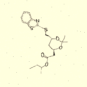 CCC(C)OC(=O)C[C@H]1C[C@@H](CSc2nc3ccccc3s2)OC(C)(C)O1